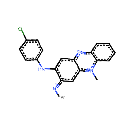 CC(C)/N=c1\cc2n(C)c3ccccc3nc-2cc1Nc1ccc(Cl)cc1